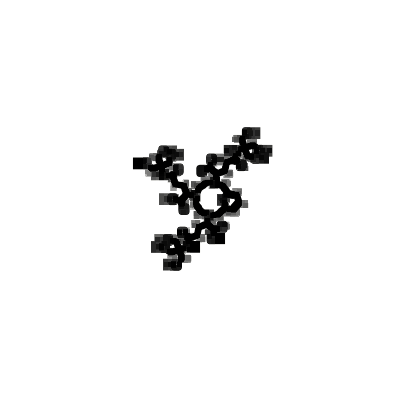 O=C(CCC(C(=O)O)N1CCN(C(CCC(=O)NC(CO)(CO)CO)C(=O)O)Cc2cccc(n2)CN(C(CCC(=O)NC(CO)(CO)CO)C(=O)O)CC1)NC(CO)(CO)CO